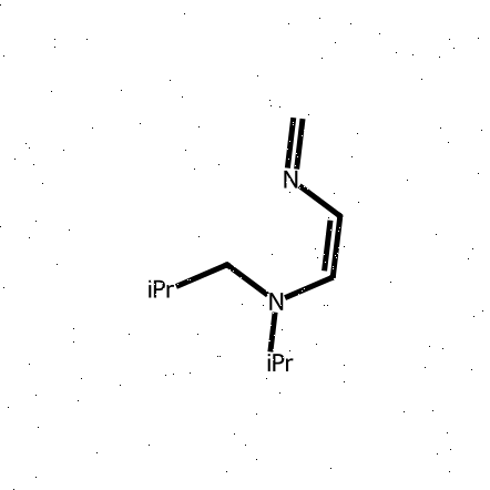 C=N/C=C\N(CC(C)C)C(C)C